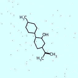 C=C(C)C1CCC(C2CCC(C)CC2)C(O)C1